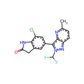 Cc1ccc2nn(C(F)F)c(-c3cc(Cl)c4c(c3)CC(=O)N4)c2n1